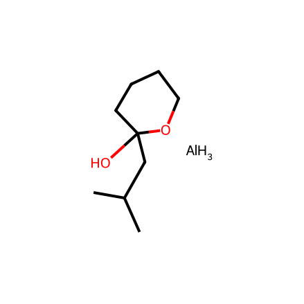 CC(C)CC1(O)CCCCO1.[AlH3]